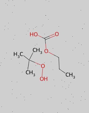 CC(C)(C)OO.CCCOC(=O)O